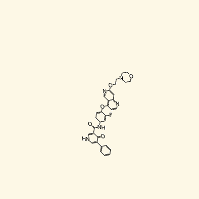 O=C(NC1C=C(F)C(Oc2ccnc3cc(OCCN4CCOCC4)ncc23)=CC1)c1c[nH]cc(-c2ccccc2)c1=O